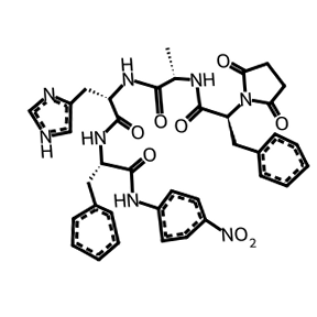 C[C@H](NC(=O)[C@H](Cc1ccccc1)N1C(=O)CCC1=O)C(=O)N[C@@H](Cc1c[nH]cn1)C(=O)N[C@@H](Cc1ccccc1)C(=O)Nc1ccc([N+](=O)[O-])cc1